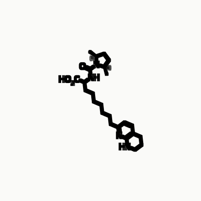 C[C@@H]1CC[C@H](C)N1C(=O)NC(CCCCCCCc1ccc2c(n1)NCCC2)C(=O)O